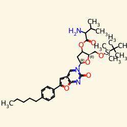 CCCCCc1ccc(-c2cc3cn([C@H]4CC(OC(=O)C(N)C(C)C)[C@@H](CO[Si](C)(C)C(C)(C)C)O4)c(=O)nc3o2)cc1